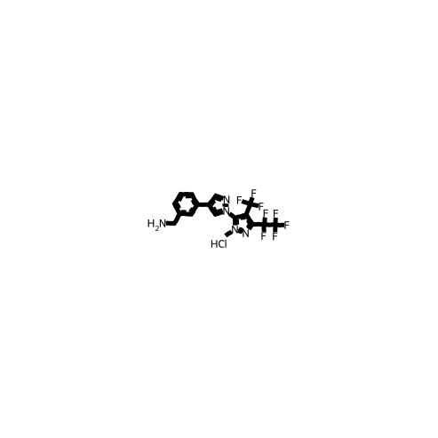 Cl.Cn1nc(C(F)(F)C(F)(F)F)c(C(F)(F)F)c1-n1cc(-c2cccc(CN)c2)cn1